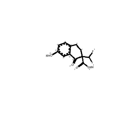 COC(=O)C1(C(F)F)CCc2ccc(OC)cc2C1=O